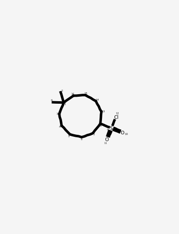 CC1(C)CCCCCC(S(=O)(=O)Cl)CCCC1